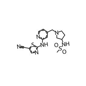 CS(=O)(=O)NC1CCN(Cc2ccnc(Nc3ncc(C#N)s3)c2)C1